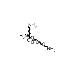 NCCCC[C@H](N)C(=O)OC(=O)COCCOCCN